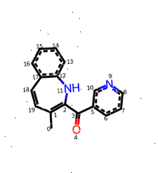 CC1=C(C(=O)c2cccnc2)Nc2ccccc2C=C1